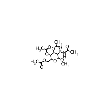 COC1OC(COC(C)=O)C(OC(C)=O)C(OC(C)=O)C1NNC(C)=O